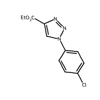 CCOC(=O)c1cn(-c2ccc(Cl)cc2)nn1